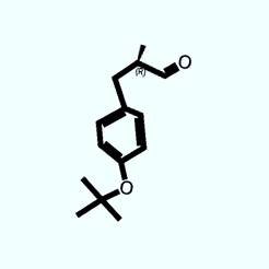 C[C@@H](C=O)Cc1ccc(OC(C)(C)C)cc1